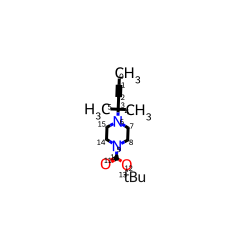 CC#CC(C)(C)N1CCN(C(=O)OC(C)(C)C)CC1